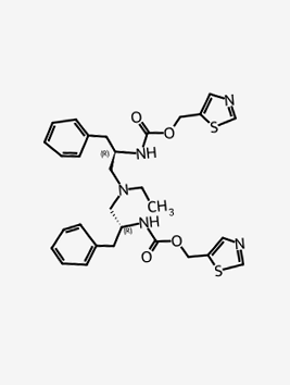 CCN(C[C@@H](Cc1ccccc1)NC(=O)OCc1cncs1)C[C@@H](Cc1ccccc1)NC(=O)OCc1cncs1